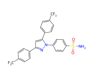 NS(=O)(=O)c1ccc(-n2nc(-c3ccc(C(F)(F)F)cc3)cc2-c2ccc(C(F)(F)F)cc2)cc1